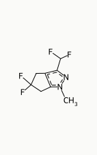 Cn1nc(C(F)F)c2c1CC(F)(F)C2